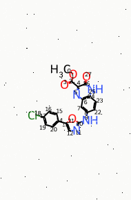 COC(=O)c1nc2cc(Nc3ncc(-c4ccc(Cl)cc4)o3)ccc2[nH]c1=O